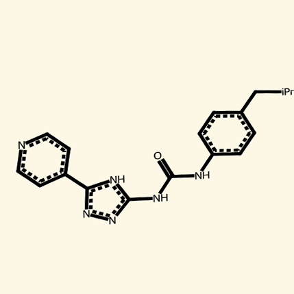 CC(C)Cc1ccc(NC(=O)Nc2nnc(-c3ccncc3)[nH]2)cc1